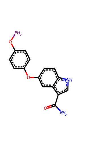 NC(=O)c1c[nH]c2ccc(Oc3ccc(OP)cc3)cc12